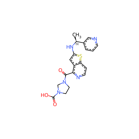 C[C@H](Nc1cc2c(C(=O)N3CCN(C(=O)O)C3)nccc2s1)c1cccnc1